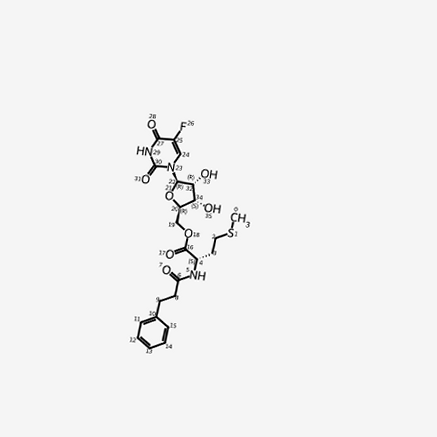 CSCC[C@H](NC(=O)CCc1ccccc1)C(=O)OC[C@H]1O[C@@H](n2cc(F)c(=O)[nH]c2=O)[C@H](O)[C@@H]1O